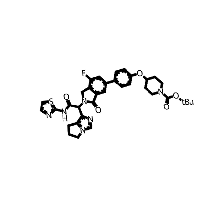 CC(C)(C)OC(=O)N1CCC(Oc2ccc(-c3cc(F)c4c(c3)C(=O)N(C(C(=O)Nc3nccs3)c3ncn5c3CCC5)C4)cc2)CC1